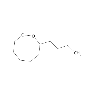 CCCCC1CCCCCOO1